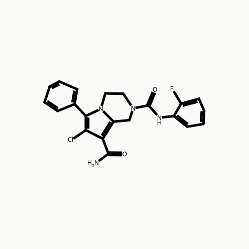 NC(=O)c1c(Cl)c(-c2ccccc2)n2c1CN(C(=O)Nc1ccccc1F)CC2